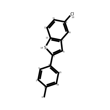 Cc1ccc(-c2cc3cc(Cl)ccc3s2)cc1